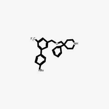 CCCCc1ccc(-c2cc(COCC3(c4ccccc4)CCNCC3)cc(C(F)(F)F)c2)cc1